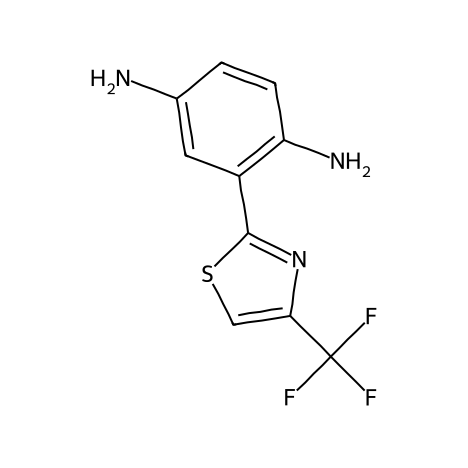 Nc1ccc(N)c(-c2nc(C(F)(F)F)cs2)c1